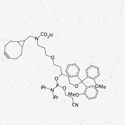 COc1ccccc1C(OCCC(CCOCCCN(CC1C2CCC#CCCC21)C(=O)O)OP(OCCC#N)N(C(C)C)C(C)C)(c1ccccc1)c1ccccc1OC